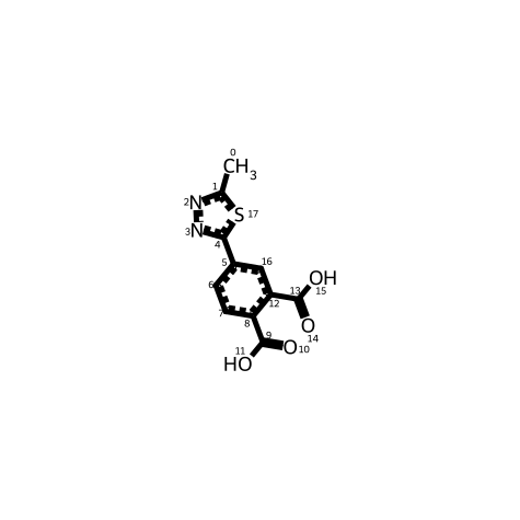 Cc1nnc(-c2ccc(C(=O)O)c(C(=O)O)c2)s1